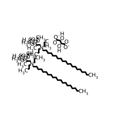 CCCCCCCCCCCCCCCCCCCC[N+](CCC)(CCC)CC(C)[Si](OC)(OC)OC.CCCCCCCCCCCCCCCCCCCC[N+](CCC)(CCC)CC(C)[Si](OC)(OC)OC.O=C([O-])C(O)C(O)C(=O)[O-]